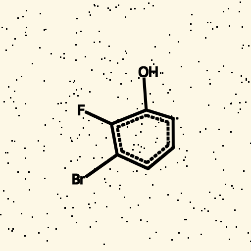 Oc1[c]ccc(Br)c1F